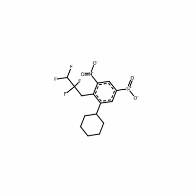 O=[N+]([O-])c1cc(C2CCCCC2)c([CH]C(F)(F)C(F)F)c([N+](=O)[O-])c1